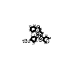 CC(C)(C)c1ccc(S(=O)(=O)N(CC2COc3ccccc3O2)C2CCOCC2)cc1